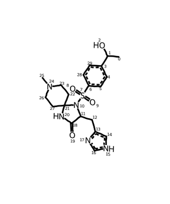 CC(O)c1ccc(S(=O)(=O)N2C(Cc3c[nH]cn3)C(=O)NC23CCN(C)CC3)cc1